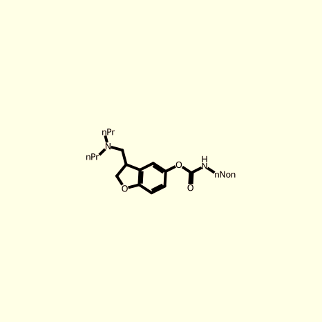 CCCCCCCCCNC(=O)Oc1ccc2c(c1)C(CN(CCC)CCC)CO2